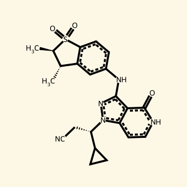 C[C@@H]1[C@@H](C)c2cc(Nc3nn([C@@H](CC#N)C4CC4)c4cc[nH]c(=O)c34)ccc2S1(=O)=O